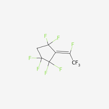 FC(=C1C(F)(F)CC(F)(F)C1(F)F)C(F)(F)F